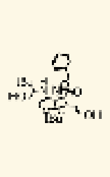 CC(C)(C)OC(=O)[C@](N)(C(=O)NC(CO)C(C)(C)C)[C@H](C/C=C/O)C(=O)OCc1ccccc1